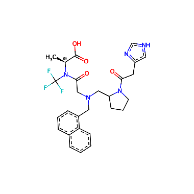 C[C@@H](C(=O)O)N(C(=O)CN(Cc1cccc2ccccc12)CC1CCCN1C(=O)Cc1c[nH]cn1)C(F)(F)F